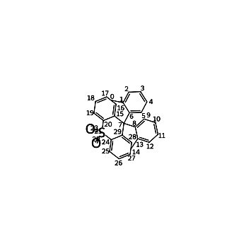 Cc1ccccc1C1(c2ccccc2C)c2ccccc2S(=O)(=O)c2ccccc21